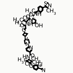 Cc1ncsc1-c1ccc([C@H](C)NC(=O)[C@@H]2C[C@@H](O)CN2C(=O)[C@@H](NC(=O)COC2CC(N3CCN(c4ccc(C(=O)NC5C(C)(C)C(Oc6ccc(C#N)c(Cl)c6)C5(C)C)cn4)CC3)C2)C(C)(C)C)cc1